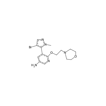 Cn1ncc(Br)c1-c1cc(N)cnc1OCCN1CCOCC1